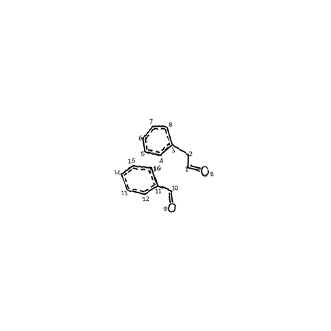 O=CCc1ccccc1.O=Cc1ccccc1